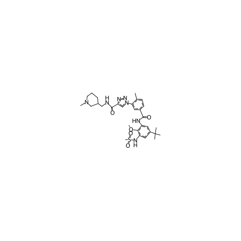 COc1c(NC(=O)c2ccc(C)c(-n3cc(C(=O)NCC4CCCN(C)C4)nn3)c2)cc(C(C)(C)C)cc1NS(C)(=O)=O